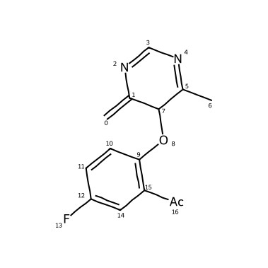 C=C1N=CN=C(C)C1Oc1ccc(F)cc1C(C)=O